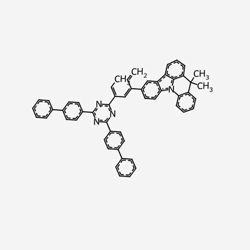 C=C/C(=C\C(=C/C)c1nc(-c2ccc(-c3ccccc3)cc2)nc(-c2ccc(-c3ccccc3)cc2)n1)c1ccc2c(c1)c1cccc3c1n2-c1ccccc1C3(C)C